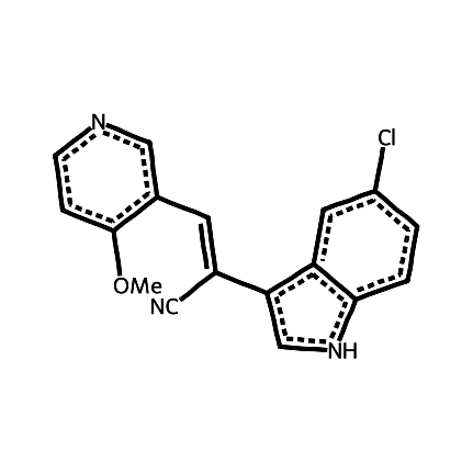 COc1ccncc1C=C(C#N)c1c[nH]c2ccc(Cl)cc12